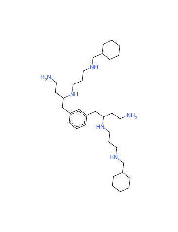 NCCC(Cc1cccc(CC(CCN)NCCCNCC2CCCCC2)c1)NCCCNCC1CCCCC1